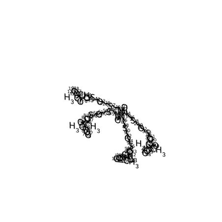 CC(C)(C(=O)c1ccc(SCCOCCCSCCCN2C(=O)N(CCCSCCCOCCSc3ccc(C(=O)C(C)(C)N4CCOCC4)cc3)C3C2N(CCCSCCCOCCSc2ccc(C(=O)C(C)(C)N4CCOCC4)cc2)C(=O)N3CCCSCCCOCCSc2ccc(C(=O)C(C)(C)N3CCOCC3)cc2)cc1)N1CCCCC1